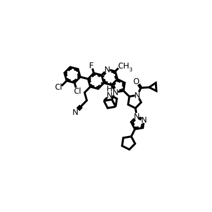 Cc1nc2c(F)c(-c3cccc(Cl)c3Cl)c(CCC#N)cc2c2c1cc(C1CC(n3cc(C4CCCC4)cn3)CN1C(=O)C1CC1)n2C1C2CNC1C2